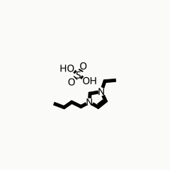 CCCCN1C=CN(CC)C1.O=S(=O)(O)O